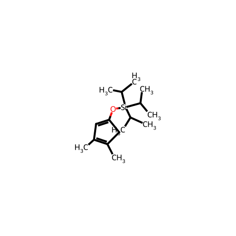 CC1=C(C)CC(O[Si](C(C)C)(C(C)C)C(C)C)=C1